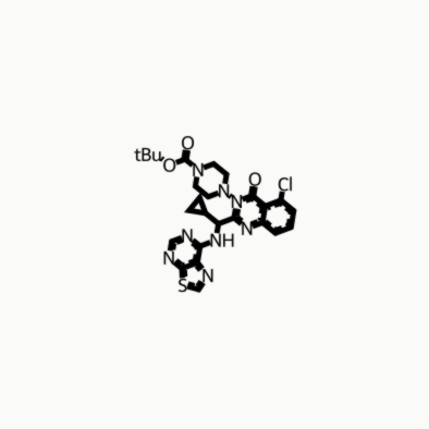 CC(C)(C)OC(=O)N1CCN(n2c(C(Nc3ncnc4scnc34)C3CC3)nc3cccc(Cl)c3c2=O)CC1